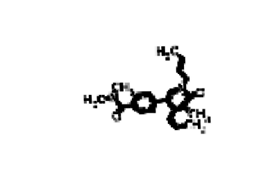 C/C=C\c1c(-c2ccc(C(=O)N(C)C)cc2)cn(C/C=C/C)c(=O)c1C